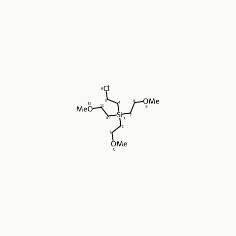 COCC[Si](CCCl)(CCOC)CCOC